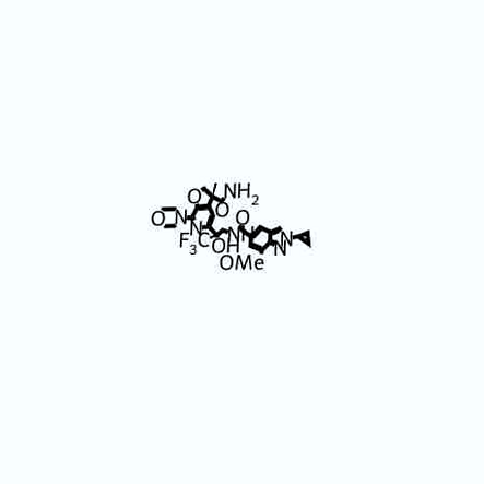 COc1cc(C(=O)NC[C@](O)(c2cc3c(c(N4CCOCC4)n2)OC[C@]3(C)C(N)=O)C(F)(F)F)cc2cn(C3CC3)nc12